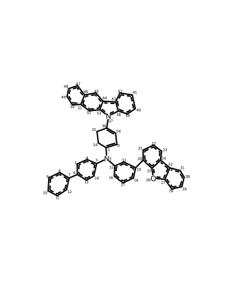 C1=C(N(c2ccc(-c3ccccc3)cc2)c2cccc(-c3cccc4c3oc3ccccc34)c2)CCC(n2c3ccccc3c3cc4ccccc4cc32)=C1